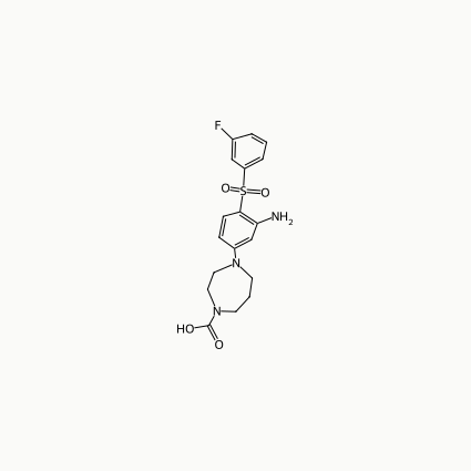 Nc1cc(N2CCCN(C(=O)O)CC2)ccc1S(=O)(=O)c1cccc(F)c1